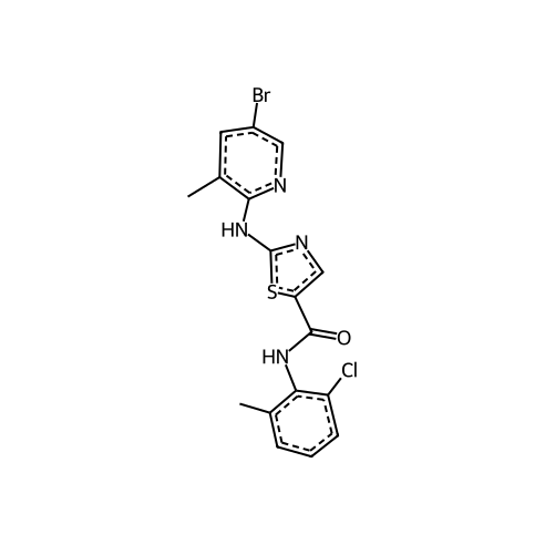 Cc1cc(Br)cnc1Nc1ncc(C(=O)Nc2c(C)cccc2Cl)s1